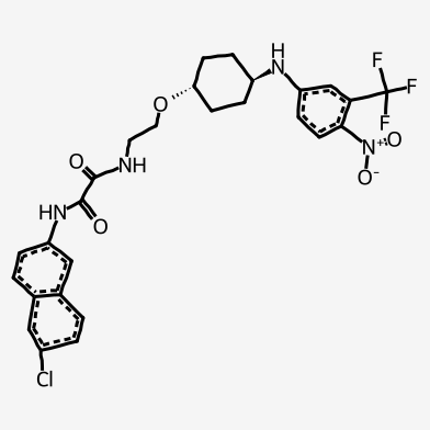 O=C(NCCO[C@H]1CC[C@H](Nc2ccc([N+](=O)[O-])c(C(F)(F)F)c2)CC1)C(=O)Nc1ccc2cc(Cl)ccc2c1